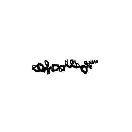 CNS(=O)(=O)c1cccc(OC[C@@H](O)CNC2COC3(CCN(S(=O)(=O)c4ccc5c(c4)CCO5)CC3)C2)c1